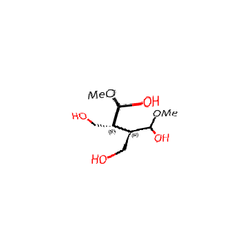 COC(O)[C@@H](CO)[C@H](CO)C(O)OC